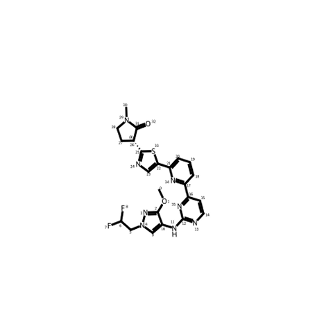 COc1nn(CC(F)F)cc1Nc1nccc(-c2cccc(-c3cnc([C@@H]4CCN(C)C4=O)s3)n2)n1